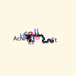 CC/C=C\C/C=C\C/C=C\C/C=C\C/C=C\C/C=C\CCC(=O)NCCNC(=O)C1=C[C@@H](OC(CC)CC)[C@H](NC(C)=O)[C@@H](NC(=O)O)C1